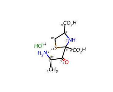 C[C@@H](N)C(=O)C1(C(=O)O)NC(C(=O)O)CS1.Cl